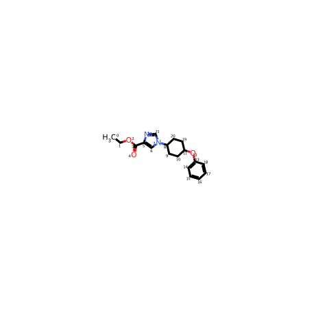 CCOC(=O)c1cn(C2CCC(Oc3ccccc3)CC2)cn1